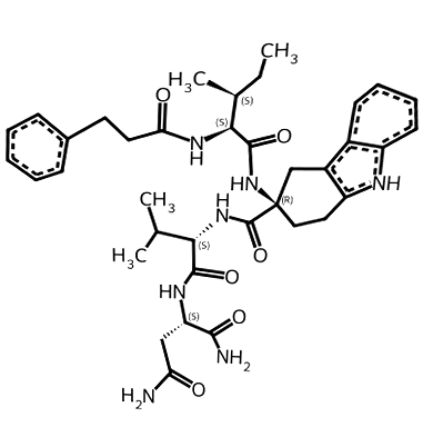 CC[C@H](C)[C@H](NC(=O)CCc1ccccc1)C(=O)N[C@]1(C(=O)N[C@H](C(=O)N[C@@H](CC(N)=O)C(N)=O)C(C)C)CCc2[nH]c3ccccc3c2C1